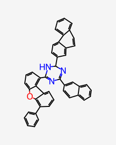 c1ccc(-c2cccc3c2oc2cccc(C4=NC(c5ccc6ccccc6c5)=NC(c5ccc6c(ccc7ccccc76)c5)N4)c23)cc1